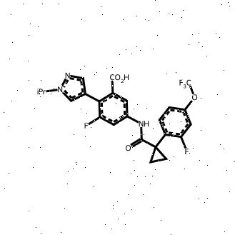 CC(C)n1cc(-c2c(F)cc(NC(=O)C3(c4ccc(OC(F)(F)F)cc4F)CC3)cc2C(=O)O)cn1